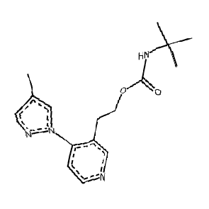 Cc1cnn(-c2ccncc2CCOC(=O)NC(C)(C)C)c1